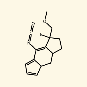 COCC1(I)CCC2CC3C=CC=C3C(N=C=O)=C21